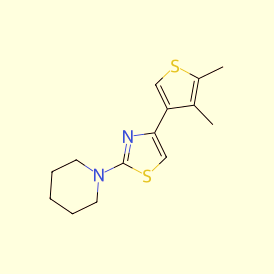 Cc1scc(-c2csc(N3CCCCC3)n2)c1C